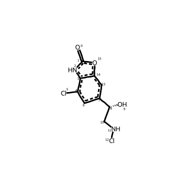 O=c1[nH]c2c(Cl)cc([C@H](O)CNCl)cc2o1